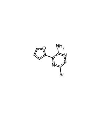 Nc1ncc(Br)nc1-c1ccco1